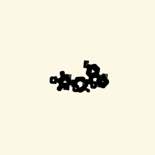 Cc1nc(N2CCN(C(=O)c3cc(F)ccc3-n3nccn3)[C@H](C)CO2)nc(C)c1Cl